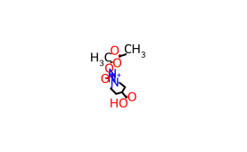 CCC(=O)OC(C)ON=[N+]([O-])N1CCC(C(=O)O)CC1